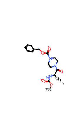 CC(NC(=O)OC(C)(C)C)C(=O)N1CCN(C(=O)OCc2ccccc2)CC1